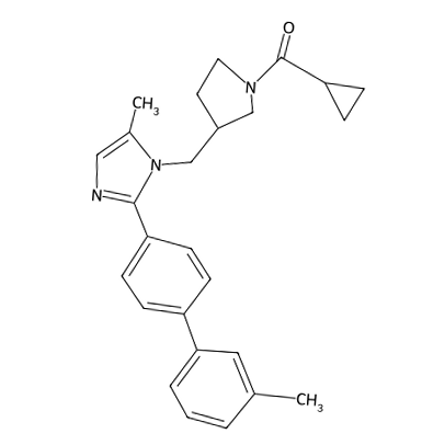 Cc1cccc(-c2ccc(-c3ncc(C)n3CC3CCN(C(=O)C4CC4)C3)cc2)c1